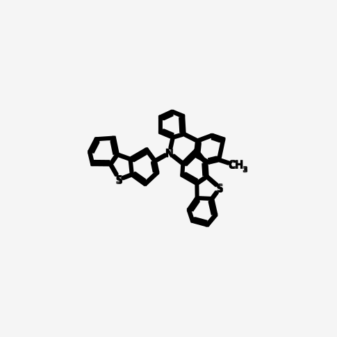 Cc1ccc(-c2ccccc2N(c2ccc3sc4ccccc4c3c2)c2ccc3sc4ccccc4c3c2)cc1